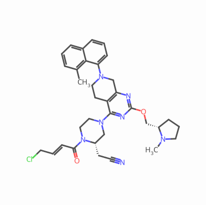 Cc1cccc2cccc(N3CCc4c(nc(OC[C@@H]5CCCN5C)nc4N4CCN(C(=O)/C=C/CCl)[C@@H](CC#N)C4)C3)c12